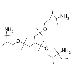 CCC(C)(N)C(C)COC(C)(C)C(CC(C)(C)OCC(C)C(C)(C)N)CC(C)(C)OCC1C(C)C1(C)N